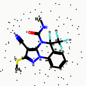 CNC(=O)N1c2c(C#N)c(SC)nn2-c2ccccc2C1(F)C(F)(F)F